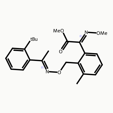 CO/N=C(/C(=O)OC)c1cccc(C)c1CO/N=C(\C)c1ccccc1C(C)(C)C